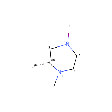 C[C@@H]1CN(I)CCN1C